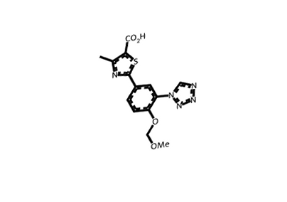 COCOc1ccc(-c2nc(C)c(C(=O)O)s2)cc1-n1cnnn1